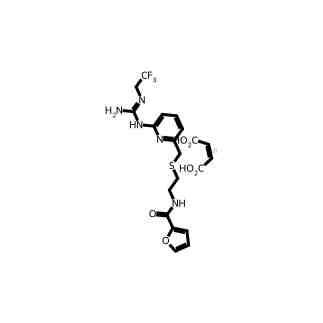 NC(=NCC(F)(F)F)Nc1cccc(CSCCNC(=O)c2ccco2)n1.O=C(O)/C=C\C(=O)O